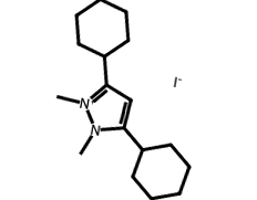 Cn1c(C2CCCCC2)cc(C2CCCCC2)[n+]1C.[I-]